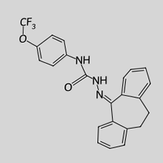 O=C(NN=C1c2ccccc2CCc2ccccc21)Nc1ccc(OC(F)(F)F)cc1